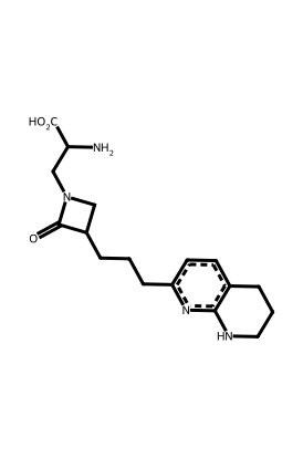 NC(CN1CC(CCCc2ccc3c(n2)NCCC3)C1=O)C(=O)O